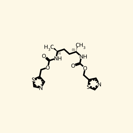 C[C@@H](CC[C@H](C)NC(=O)OCc1cncs1)NC(=O)OCc1cncs1